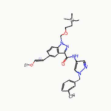 CCO/C=C/c1ccc2c(c1)c(C(=O)Nc1cnn(Cc3cccc(C#N)c3)c1)nn2COCC[Si](C)(C)C